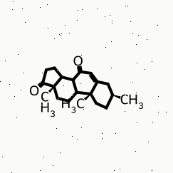 C[C@H]1CC[C@@]2(C)C(=CC(=O)C3C2CC[C@]2(C)C(=O)CCC32)C1